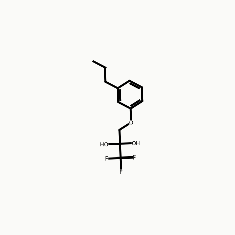 C[CH]Cc1cccc(OCC(O)(O)C(F)(F)F)c1